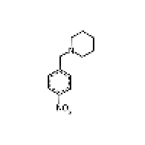 O=[N+]([O-])c1ccc(CN2CC[CH]CC2)cc1